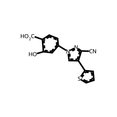 N#Cc1nn(-c2ccc(C(=O)O)c(O)c2)cc1-c1cccs1